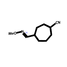 CO/N=C/C1CCCC(C#N)CC1